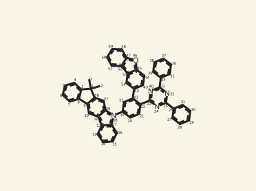 CC1(C)c2ccccc2-c2cc3c4ccccc4n(-c4ccc(-c5nc(-c6ccccc6)nc(-c6ccccc6)n5)c(-c5ccc6oc7ccccc7c6c5)c4)c3cc21